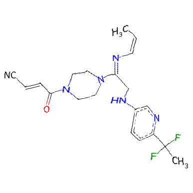 C/C=C\N=C(/CNc1ccc(C(C)(F)F)nc1)N1CCN(C(=O)/C=C/C#N)CC1